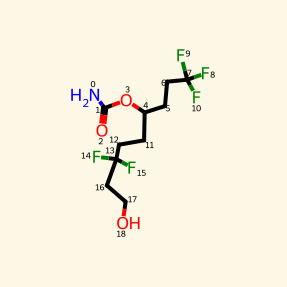 NC(=O)OC(CCC(F)(F)F)CCC(F)(F)CCO